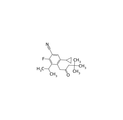 CC(C)c1c(F)c(C#N)cc(C2CC2)c1CC(=O)CC(C)(C)C